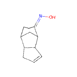 ON=C1CC2CC1C1C=CCC21